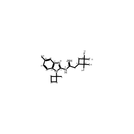 CC1(n2c(NC(=N)CC3CC(F)(F)C3(I)I)nc3cc(I)ccc32)CCC1